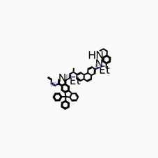 C=C/C=C\c1cnc(/C(=C/C(C)C2=CC3C(C=C2)C=CC2C=C(/C(CC)=N/c4c(C)ccc5c4NCCC5)C=CC23)CC)c2cc3c(cc12)C(c1ccccc1)(c1ccccc1)C1C=CC=CC31